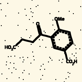 COc1ccc(C(=O)O)cc1C(=O)CCC(=O)O